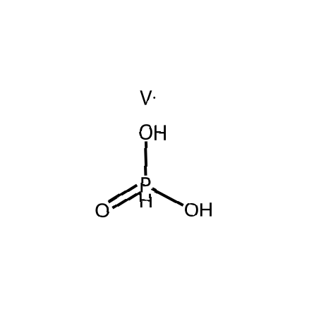 O=[PH](O)O.[V]